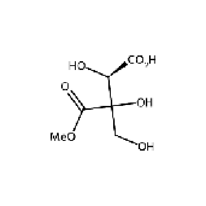 COC(=O)C(O)(CO)[C@@H](O)C(=O)O